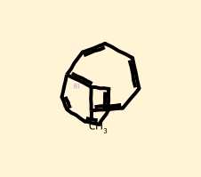 Cc1ccccc/c2cccccc/c1=2